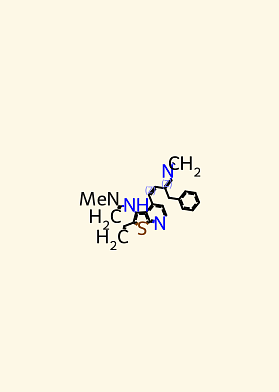 C=Cc1sc2nccc(/C=C\C(=C/N=C)Cc3ccccc3)c2c1NC(=C)NC